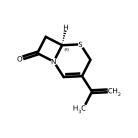 C=C(C)C1=CN2C(=O)C[C@H]2SC1